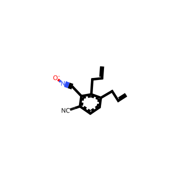 C=CCc1ccc(C#N)c(C#[N+][O-])c1CC=C